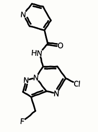 O=C(Nc1cc(Cl)nc2c(CF)cnn12)c1cccnc1